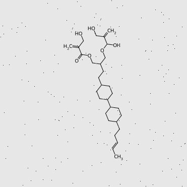 C=C(CO)C(=O)OCC(CCC1CCC(C2CCC(CC/C=C/C)CC2)CC1)COC(O)C(=C)CO